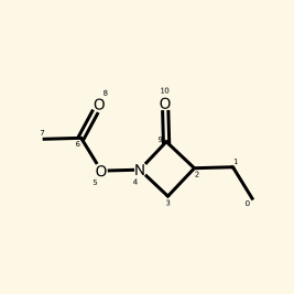 CCC1CN(OC(C)=O)C1=O